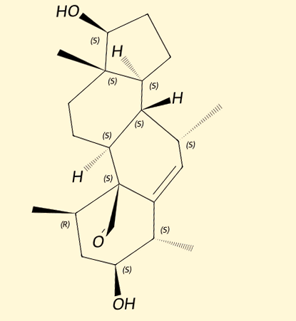 C[C@@H]1C=C2[C@H](C)[C@@H](O)C[C@@H](C)[C@]2(C=O)[C@H]2CC[C@]3(C)[C@@H](O)CC[C@H]3[C@H]12